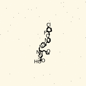 O=C(O)c1cn2c(CC3CCO3)c(CN3CCN(c4cccc(OCc5ccc(Cl)cc5F)n4)CC3)nc2s1